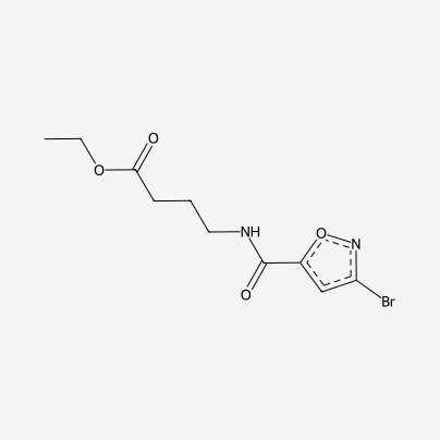 CCOC(=O)CCCNC(=O)c1cc(Br)no1